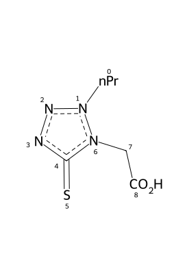 CCCn1nnc(=S)n1CC(=O)O